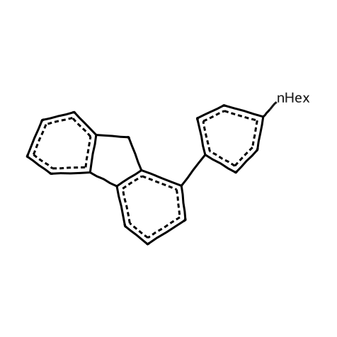 CCCCCCc1ccc(-c2cccc3c2Cc2ccccc2-3)cc1